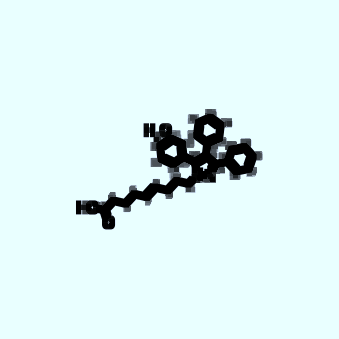 O.O=C(O)CCCC=CCCCn1nc(-c2ccccc2)c(-c2ccccc2)c1-c1ccccc1